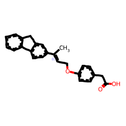 C/C(=C\COc1ccc(CC(=O)O)cc1)c1ccc2c(c1)Cc1ccccc1-2